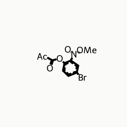 CO[N+](=O)c1cc(Br)ccc1OC(=O)C(C)=O